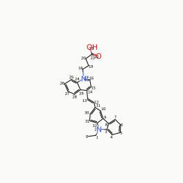 CCn1c2ccccc2c2cc(/C=C/c3cc[n+](CCCC(=O)O)c4ccccc34)ccc21